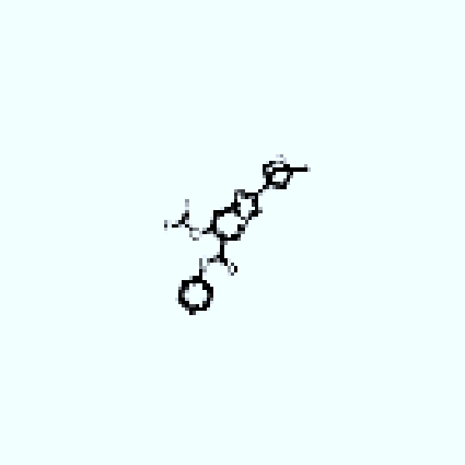 CC12CC(c3cn4cc(C(=O)Oc5ccccc5)c(OC(F)F)cc4n3)(CO1)C2